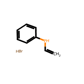 Br.C=CPc1ccccc1